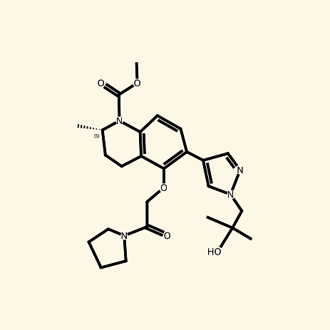 COC(=O)N1c2ccc(-c3cnn(CC(C)(C)O)c3)c(OCC(=O)N3CCCC3)c2CC[C@@H]1C